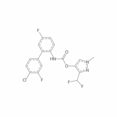 Cn1cc(OC(=O)Nc2ccc(F)cc2-c2ccc(Cl)c(F)c2)c(C(F)F)n1